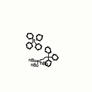 CCCC[P+](CCCC)(CCCC)CCCC(c1ccccc1)(c1ccccc1)c1ccccc1.c1ccc([B-](c2ccccc2)(c2ccccc2)c2ccccc2)cc1